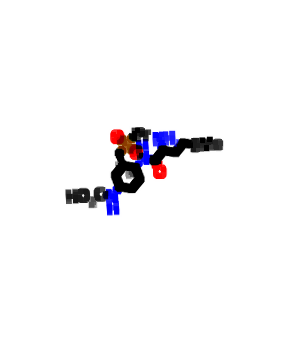 CSCCC(N)C(=O)N[C@H]1CCC(NC(=O)O)C[C@H]1CS(=O)(=O)C(C)C